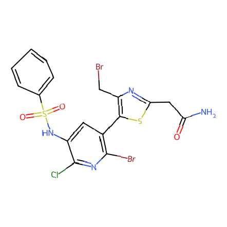 NC(=O)Cc1nc(CBr)c(-c2cc(NS(=O)(=O)c3ccccc3)c(Cl)nc2Br)s1